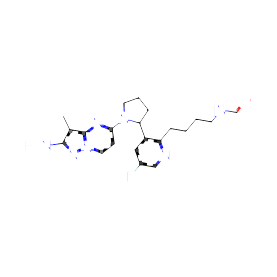 Cc1c(N)nn2ccc(N3CCCC3c3cc(F)cnc3CCCCNC=O)nc12